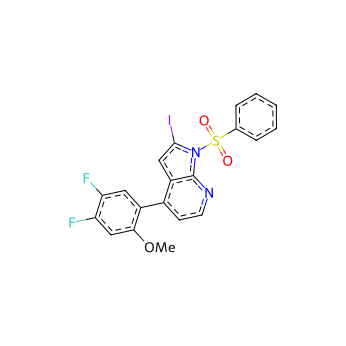 COc1cc(F)c(F)cc1-c1ccnc2c1cc(I)n2S(=O)(=O)c1ccccc1